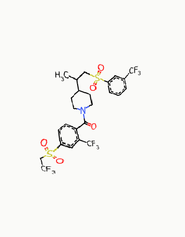 CC(CS(=O)(=O)c1cccc(C(F)(F)F)c1)C1CCN(C(=O)c2ccc(S(=O)(=O)CC(F)(F)F)cc2C(F)(F)F)CC1